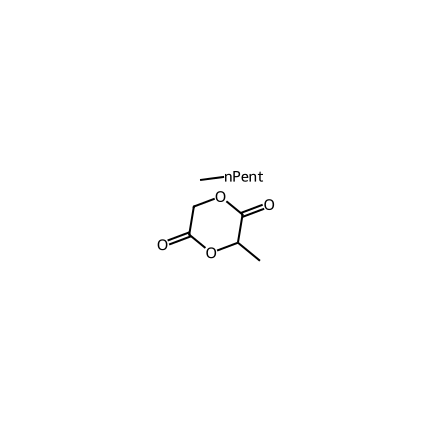 CC1OC(=O)COC1=O.CCCCCC